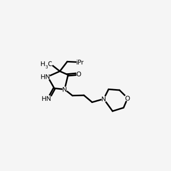 CC(C)CC1(C)NC(=N)N(CCCN2CCOCC2)C1=O